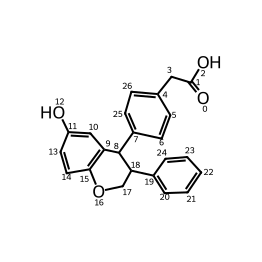 O=C(O)Cc1ccc(C2c3cc(O)ccc3OCC2c2ccccc2)cc1